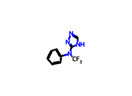 FC(F)(F)N(c1ccccc1)c1nnc[nH]1